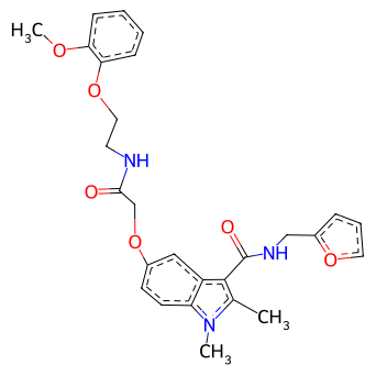 COc1ccccc1OCCNC(=O)COc1ccc2c(c1)c(C(=O)NCc1ccco1)c(C)n2C